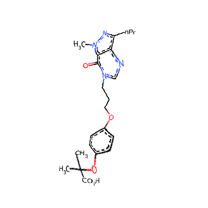 CCCc1nn(C)c2c(=O)n(CCCOc3ccc(OC(C)(C)C(=O)O)cc3)cnc12